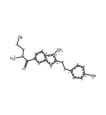 CN(CCC#N)C(=O)c1ccc2c(c1)nc(CCc1ccc(C#N)cc1)n2C